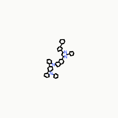 c1ccc(-c2cccc(-c3cc(-c4ccc5ccc(-n6c7ccccc7c7cc8c9ccccc9n(-c9ccccc9)c8cc76)cc5c4)nc(-c4ccccc4)n3)c2)cc1